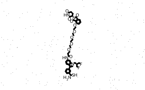 NC(S)c1cccc(-c2cn(CC(CF)CF)c3cc(NC(=O)CCOCCOCCOCCOCCOc4cccc5c4C(=O)N(C4CCC(=O)NC4=O)C5=O)ccc23)c1